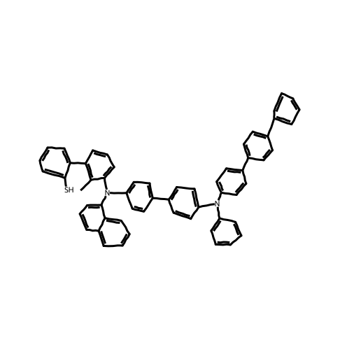 Cc1c(-c2ccccc2S)cccc1N(c1ccc(-c2ccc(N(c3ccccc3)c3ccc(-c4ccc(-c5ccccc5)cc4)cc3)cc2)cc1)c1cccc2ccccc12